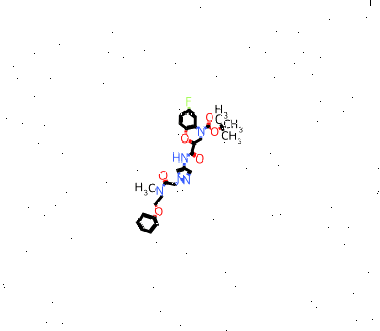 CN(CCOc1ccccc1)C(=O)Cn1cc(NC(=O)C2CN(C(=O)OC(C)(C)C)c3cc(F)ccc3O2)cn1